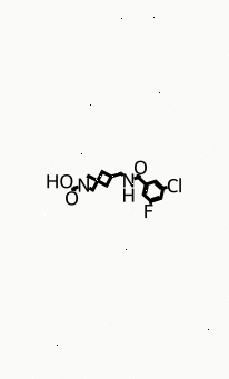 O=C(NCC1CC2(C1)CN(C(=O)O)C2)c1cc(F)cc(Cl)c1